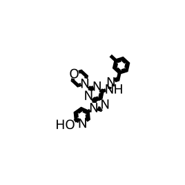 Cc1cccc(C=NNc2nc(N3CCOCC3)nc3c2ncn3-c2ccc(O)nc2)c1